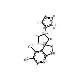 Clc1c(Br)cnc2c1[C@]1(CC[C@H](c3ncn[nH]3)C1)CN2